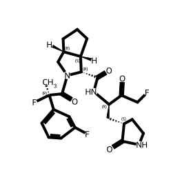 C[C@](F)(C(=O)N1C[C@@H]2CCC[C@@H]2[C@@H]1C(=O)N[C@H](C[C@@H]1CCNC1=O)C(=O)CF)c1cccc(F)c1